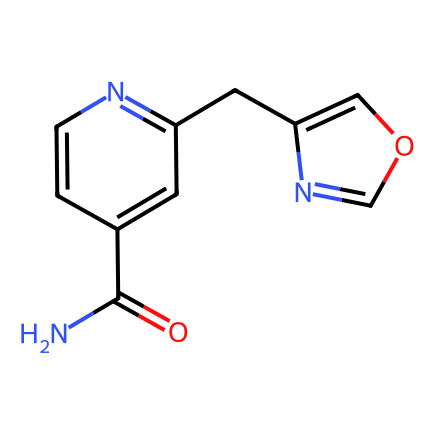 NC(=O)c1ccnc(Cc2cocn2)c1